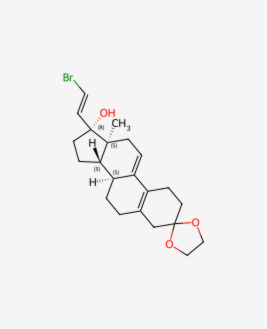 C[C@]12CC=C3C4=C(CC[C@H]3[C@@H]1CC[C@@]2(O)C=CBr)CC1(CC4)OCCO1